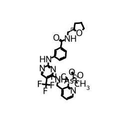 C[As](c1ncccc1CNc1nc(Nc2cccc(C(=O)NC[C@H]3CCCO3)c2)ncc1C(F)(F)F)S(C)(=O)=O